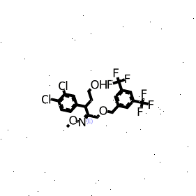 CO/N=C(/COCc1cc(C(F)(F)F)cc(C(F)(F)F)c1)C(CCO)c1ccc(Cl)c(Cl)c1